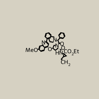 C=CC1CC1(NC(=O)[C@@H]1C[C@@H](Oc2cc(-c3ccccc3)nc3cc(OC)ccc23)CN1C(=O)[C@H](c1ccccc1)N1CCCCC1)C(=O)OCC